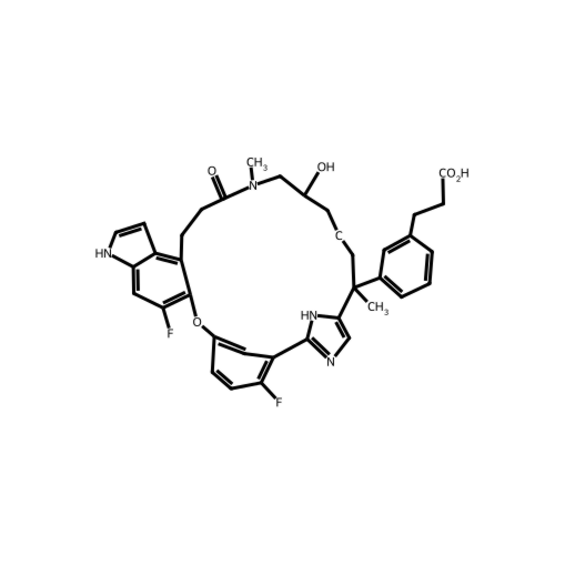 CN1CC(O)CCCC(C)(c2cccc(CCC(=O)O)c2)c2cnc([nH]2)-c2cc(ccc2F)Oc2c(F)cc3[nH]ccc3c2CCC1=O